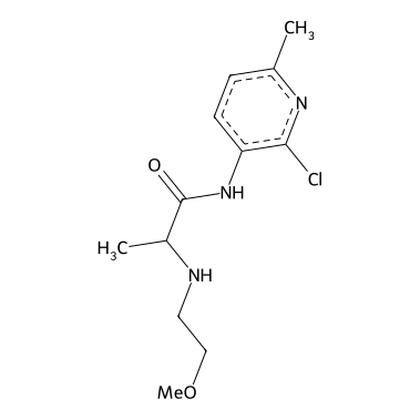 COCCNC(C)C(=O)Nc1ccc(C)nc1Cl